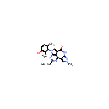 COCc1nc2c3c(cn(-c4c(C)ccc(O)c4C)c3n1)C(=O)Nc1nn(C)cc1-2